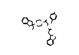 CC(C)CC1(N2CCN(C(=O)[C@@H](Cc3ccc(Cl)cc3)NC(=O)CC3NCc4ccccc43)CC2)Cc2ccccc2C1